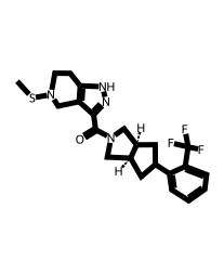 CSN1CCc2[nH]nc(C(=O)N3C[C@H]4CC(c5ccccc5C(F)(F)F)C[C@H]4C3)c2C1